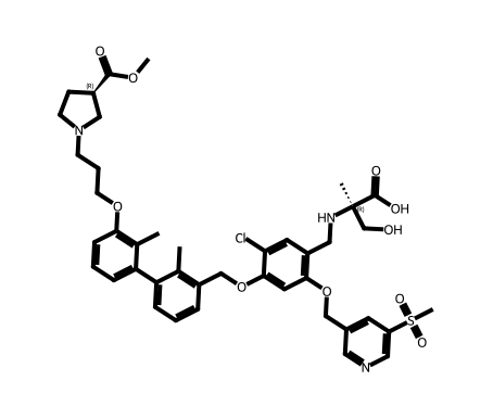 COC(=O)[C@@H]1CCN(CCCOc2cccc(-c3cccc(COc4cc(OCc5cncc(S(C)(=O)=O)c5)c(CN[C@](C)(CO)C(=O)O)cc4Cl)c3C)c2C)C1